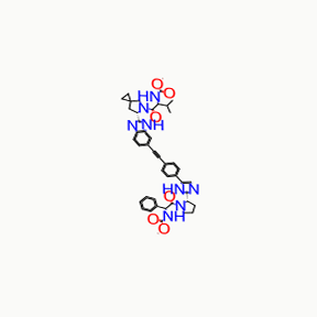 COC(=O)N[C@H](C(=O)N1CC2(CC2)C[C@H]1c1nc2ccc(C#Cc3ccc(-c4cnc([C@@H]5CCCN5C(=O)[C@H](NC(=O)OC)c5ccccc5)[nH]4)cc3)cc2[nH]1)C(C)C